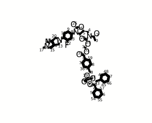 CC(=O)N(C[C@H]1CN(c2ccc(N3Cc4cn(C)nc4C3)c(F)c2)C(=O)O1)C(=O)OCOC(=O)c1ccc(COP(=O)(OCc2ccccc2)OCc2ccccc2)cc1